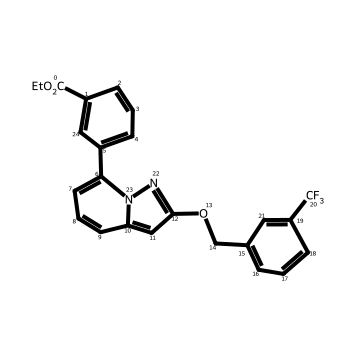 CCOC(=O)c1cccc(-c2cccc3cc(OCc4cccc(C(F)(F)F)c4)nn23)c1